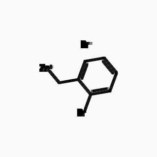 [Br-].[Zn+][CH2]c1ccccc1Br